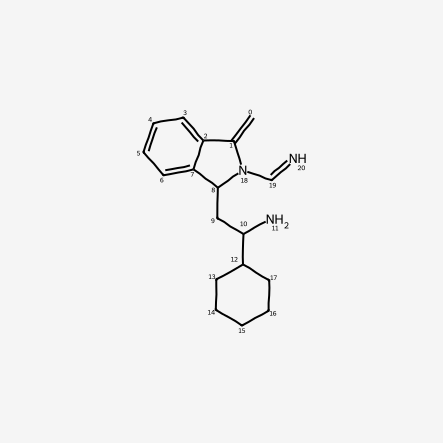 C=C1c2ccccc2C(CC(N)C2CCCCC2)N1C=N